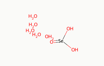 O.O.O.O.O.O=[Se](O)O